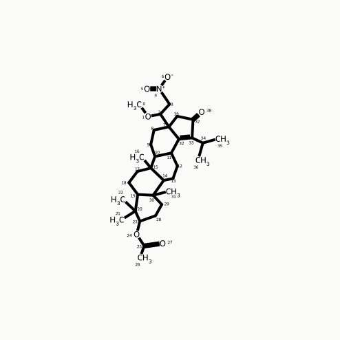 COC(C[N+](=O)[O-])C12CCC3C(CCC4C3(C)CCC3C(C)(C)C(OC(C)=O)CCC34C)C1=C(C(C)C)C(=O)C2